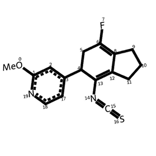 COc1cc(C2CC(F)=C3CCCC3=C2N=C=S)ccn1